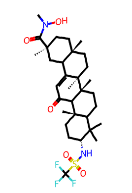 CN(O)C(=O)[C@@]1(C)CC[C@]2(C)CC[C@]3(C)C(=CC(=O)C4[C@@]5(C)CC[C@@H](NS(=O)(=O)C(F)(F)F)C(C)(C)C5CC[C@]43C)C2C1